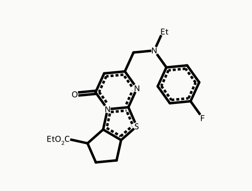 CCOC(=O)C1CCc2sc3nc(CN(CC)c4ccc(F)cc4)cc(=O)n3c21